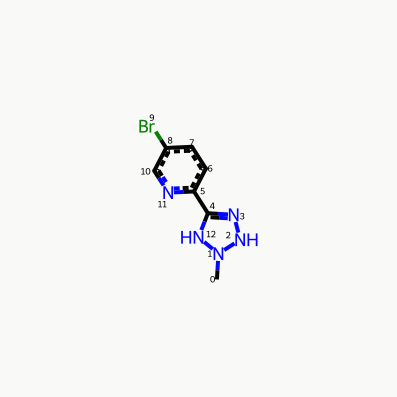 CN1NN=C(c2ccc(Br)cn2)N1